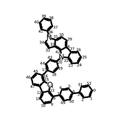 c1ccc(-c2ccc(-c3cccc4c3oc3c(-c5ccc(-n6c7ccccc7c7ccc8c(ccn8-c8ccccc8)c76)cc5)cccc34)cc2)cc1